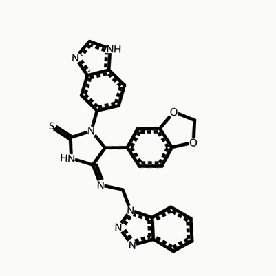 S=C1NC(=NCn2nnc3ccccc32)C(c2ccc3c(c2)OCO3)N1c1ccc2[nH]cnc2c1